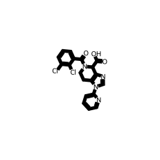 O=C(O)C1c2ncn(-c3ccccn3)c2CCN1C(=O)c1cccc(Cl)c1Cl